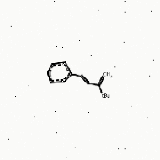 C=C(/C=C/c1ccccc1)C(C)(C)C